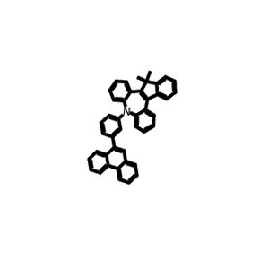 CC1(C)C2=C(c3ccccc3N(c3cccc(-c4cc5ccccc5c5ccccc45)c3)c3ccccc32)c2ccccc21